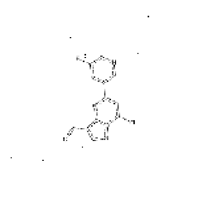 O=Cc1cnn2c(Cl)cc(-c3cncc(F)c3)nc12